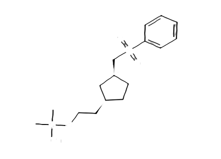 CC(C)(C)[Si](C)(C)OCC[C@@H]1CC[C@H](CS(=O)(=O)c2ccccc2)C1